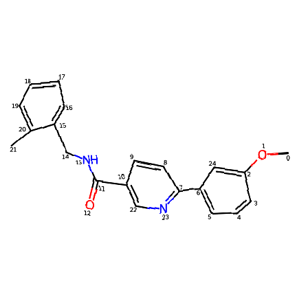 COc1cccc(-c2ccc(C(=O)NCc3ccccc3C)cn2)c1